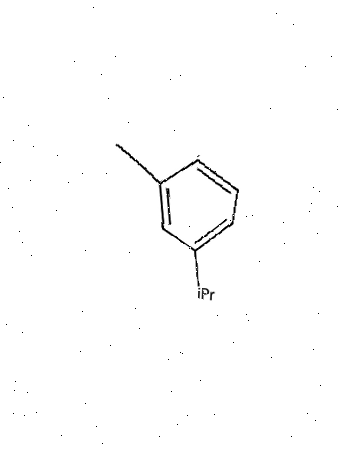 Cc1[c]ccc(C(C)C)c1